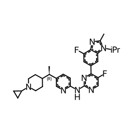 Cc1nc2c(F)cc(-c3nc(Nc4ccc([C@H](C)C5CCN(C6CC6)CC5)cn4)ncc3F)cc2n1C(C)C